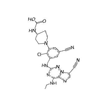 CCNc1nc(Nc2cc(C#N)cc(N3CCC(NC(=O)O)CC3)c2Cl)nn2c(C#N)cnc12